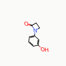 O=C1CCN1c1cccc(O)c1